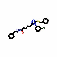 O=C(CCCCc1nnc(SCc2ccccc2)n1-c1cccc(Cl)c1)NCCc1ccccc1